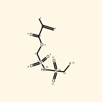 C=C(C)C(=O)OCS(=O)(=O)NS(=O)(=O)CF